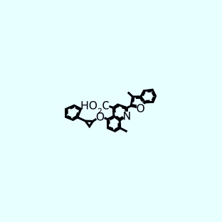 Cc1c(-c2cc(C(=O)O)c3c(OC4CC4c4ccccc4)ccc(C)c3n2)oc2ccccc12